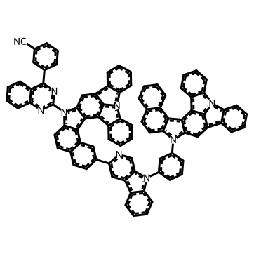 N#Cc1cccc(-c2nc(-n3c4ccc5ccc(-c6cc7c8ccccc8n(-c8cccc(-n9c%10ccc%11ccccc%11c%10c%10c%11c%12ccccc%12n%12c%13ccccc%13c(cc%109)c%11%12)c8)c7cn6)cc5c4c4c5c6ccccc6n6c7ccccc7c(cc43)c56)nc3ccccc23)c1